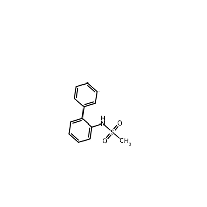 CS(=O)(=O)Nc1ccccc1-c1c[c]ccc1